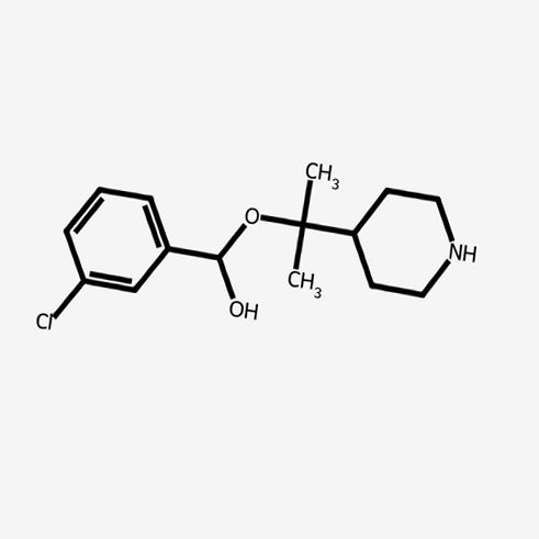 CC(C)(OC(O)c1cccc(Cl)c1)C1CCNCC1